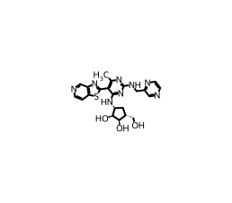 Cc1nc(NCc2cnccn2)nc(N[C@@H]2C[C@H](CO)[C@@H](O)[C@H]2O)c1-c1nc2cnccc2s1